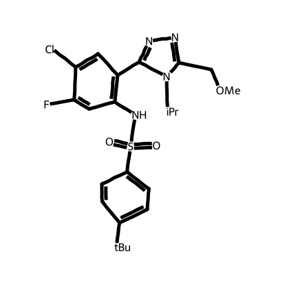 COCc1nnc(-c2cc(Cl)c(F)cc2NS(=O)(=O)c2ccc(C(C)(C)C)cc2)n1C(C)C